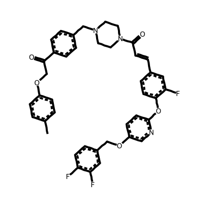 Cc1ccc(OCC(=O)c2ccc(CN3CCN(C(=O)C=Cc4ccc(Oc5ccc(OCc6ccc(F)c(F)c6)cn5)c(F)c4)CC3)cc2)cc1